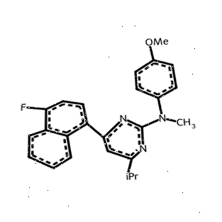 COc1ccc(N(C)c2nc(-c3ccc(F)c4ccccc34)cc(C(C)C)n2)cc1